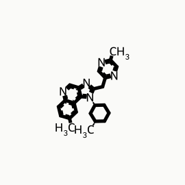 Cc1ccc2ncc3nc(Cc4cnc(C)cn4)n([C@@H]4CCC[C@H](C)C4)c3c2c1